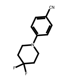 N#Cc1ccc(N2CCC(F)(F)CC2)cc1